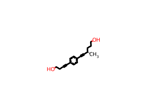 C[C@H](C#Cc1ccc(C#CCCO)cc1)CCCO